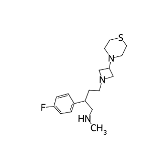 CNCC(CCN1CC(N2CCSCC2)C1)c1ccc(F)cc1